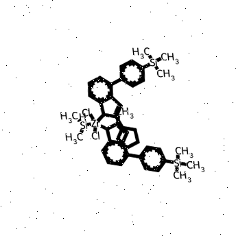 CC1=Cc2c(-c3ccc([Si](C)(C)C)cc3)cccc2[CH]1[Zr]([Cl])([Cl])([CH]1C(C2CCCC2)=Cc2c(-c3ccc([Si](C)(C)C)cc3)cccc21)[SiH](C)C